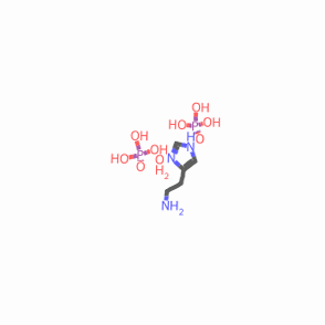 NCCc1c[nH]cn1.O.O=P(O)(O)O.O=P(O)(O)O